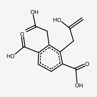 C=C(O)Cc1c(C(=O)O)ccc(C(=O)O)c1CC(=C)O